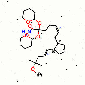 CCCOC(C)(C)C/C=C/[C@H]1CCC[C@@H]1C/C=C\CCC(OC1CCCCO1)(OC1CCCCO1)C(N)=O